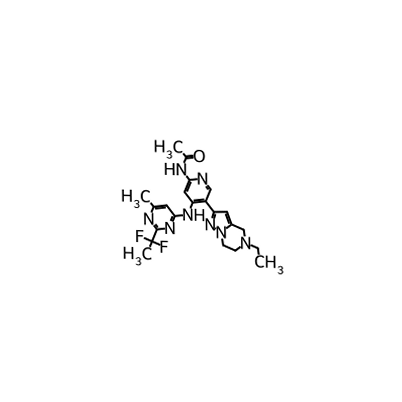 CCN1CCn2nc(-c3cnc(NC(C)=O)cc3Nc3cc(C)nc(C(C)(F)F)n3)cc2C1